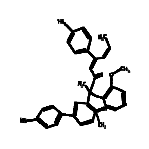 C/C=C\C(=C/C(=S)C(C)(c1cc(-c2ccc(S)cc2)ccc1S)c1c(OC)cccc1OC)c1ccc(S)cc1